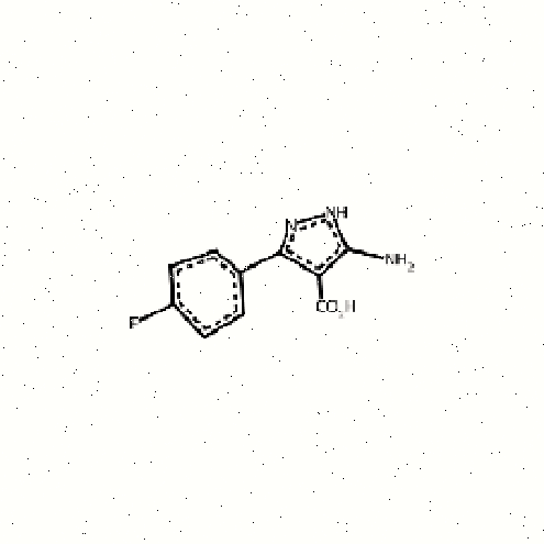 Nc1[nH]nc(-c2ccc(F)cc2)c1C(=O)O